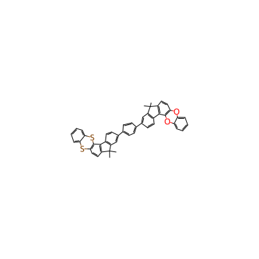 CC1(C)c2cc(-c3ccc(-c4ccc5c(c4)C(C)(C)c4ccc6c(c4-5)Sc4ccccc4S6)cc3)ccc2-c2c1ccc1c2Oc2ccccc2O1